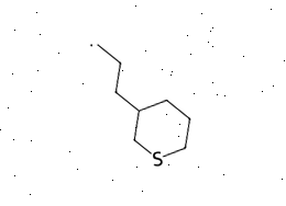 [CH2]CCC1CCCSC1